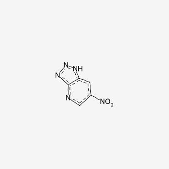 O=[N+]([O-])c1cnc2nn[nH]c2c1